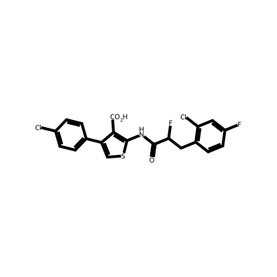 O=C(O)c1c(-c2ccc(Cl)cc2)csc1NC(=O)C(F)Cc1ccc(F)cc1Cl